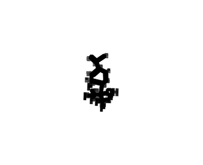 C=C(C)c1ccc(C(O)(C(F)(F)F)C(F)(F)F)cc1